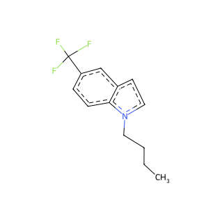 CCCCn1ccc2cc(C(F)(F)F)ccc21